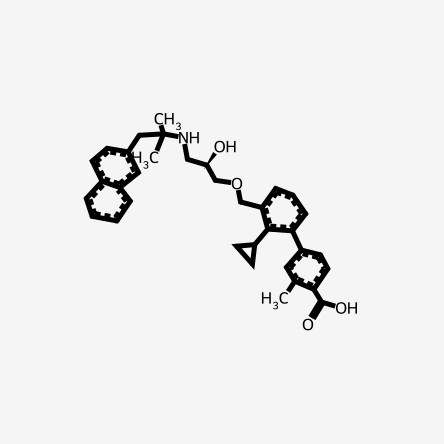 Cc1cc(-c2cccc(COC[C@H](O)CNC(C)(C)Cc3ccc4ccccc4c3)c2C2CC2)ccc1C(=O)O